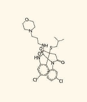 CC(C)CSC1(C(=O)NCCCN2CCOCC2)CC(=O)N(c2cccc(Cl)c2)C12C(=O)Nc1cc(Cl)ccc12